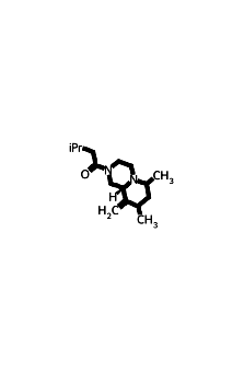 C=C1C(C)CC(C)N2CCN(C(=O)CC(C)C)C[C@@H]12